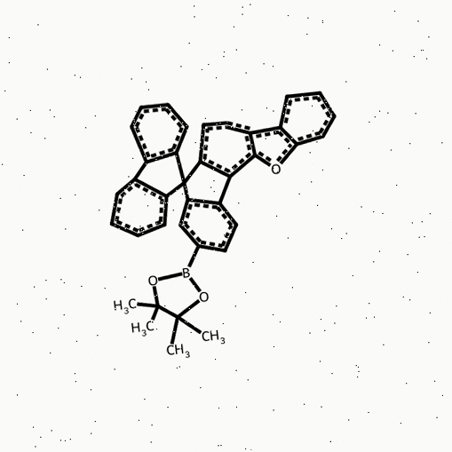 CC1(C)OB(c2ccc3c(c2)C2(c4ccccc4-c4ccccc42)c2ccc4c(oc5ccccc54)c2-3)OC1(C)C